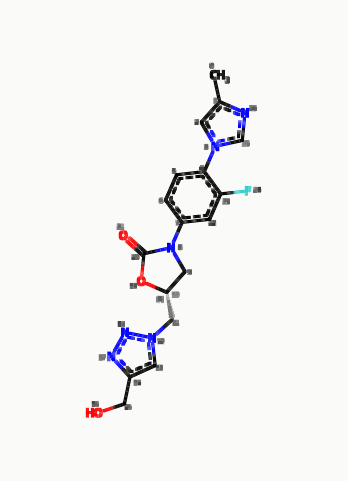 Cc1cn(-c2ccc(N3C[C@H](Cn4cc(CO)nn4)OC3=O)cc2F)cn1